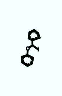 I[C](Oc1ccccc1)c1ccccc1